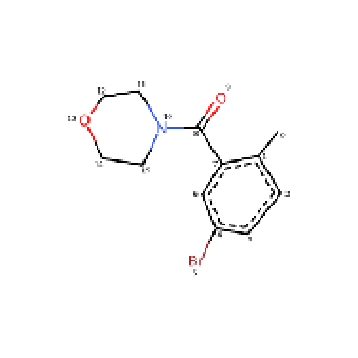 Cc1ccc(Br)cc1C(=O)N1CCOCC1